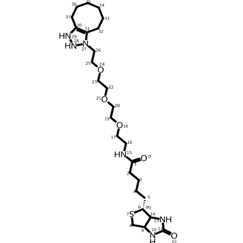 O=C(CCCC[C@H]1SCC2NC(=O)NC21)NCCOCCOCCOCCN1NNC2=C1CCCCCC2